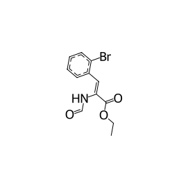 CCOC(=O)C(=Cc1ccccc1Br)NC=O